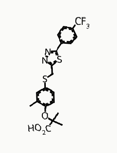 Cc1cc(SCc2nnc(-c3ccc(C(F)(F)F)cc3)s2)ccc1OC(C)(C)C(=O)O